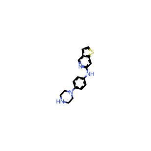 c1cc2cnc(Nc3ccc(N4CCNCC4)cc3)cc2s1